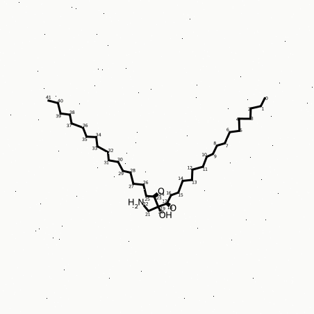 CCCCCCCCCCCCCCCCCC(=O)C(O)(CN)C(=O)CCCCCCCCCCCCCCCCC